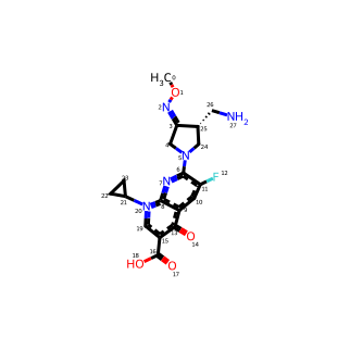 CON=C1CN(c2nc3c(cc2F)c(=O)c(C(=O)O)cn3C2CC2)C[C@H]1CN